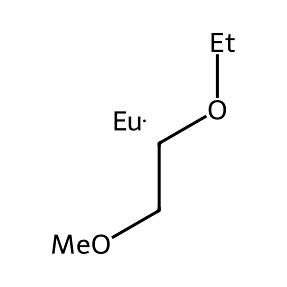 CCOCCOC.[Eu]